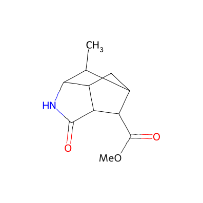 COC(=O)C1C2CC3C(NC(=O)C31)C2C